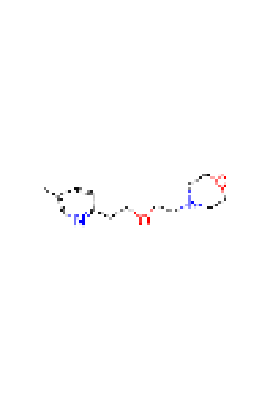 Cc1ccc(C(C)COCCN2CCOCC2)nc1